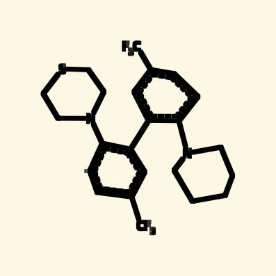 FC(F)(F)c1c[c]c(N2CCSCC2)c(-c2cc(C(F)(F)F)ccc2N2CCCCC2)c1